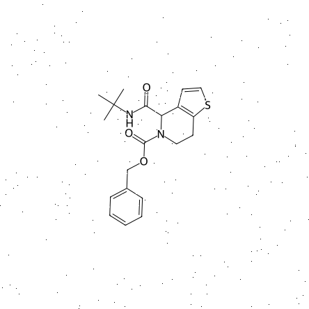 CC(C)(C)NC(=O)C1c2ccsc2CCN1C(=O)OCc1ccccc1